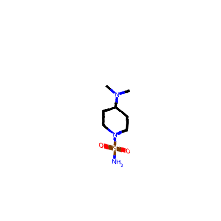 CN(C)C1CCN(S(N)(=O)=O)CC1